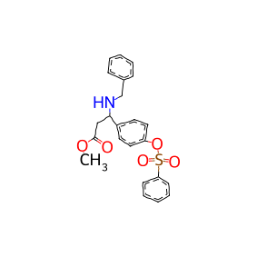 COC(=O)CC(NCc1ccccc1)c1ccc(OS(=O)(=O)c2ccccc2)cc1